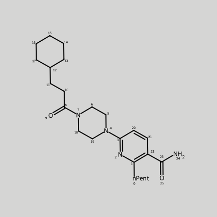 CCCCCc1nc(N2CCN(C(=O)CCC3CCCCC3)CC2)ccc1C(N)=O